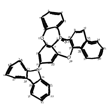 S=P12c3ccccc3Oc3cc(-n4c5ccccc5c5ccccc54)cc(c31)Oc1c2ccc2ccccc12